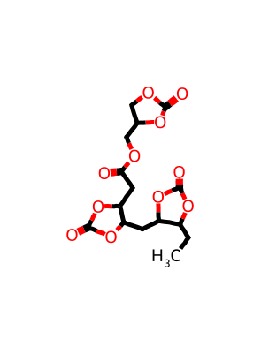 CCC1OC(=O)OC1CC1OC(=O)OC1CC(=O)OCC1COC(=O)O1